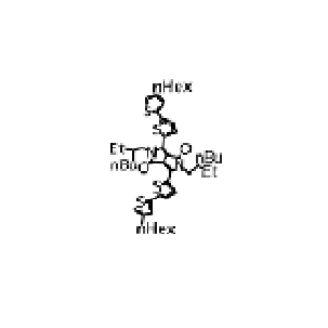 CCCCCCc1csc(-c2ccc(C3=C4C(=O)N(CC(CC)CCCC)C(c5ccc(-c6cc(CCCCCC)cs6)s5)=C4C(=O)N3CC(CC)CCCC)s2)c1